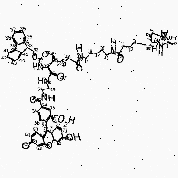 C=C1N[C@H]2[C@H](CS[C@H]2CCCCC(=O)NCCCCCNC(=O)CSC(=C)[C@H](NC(=O)OCC2c3ccccc3-c3ccccc32)C(=O)NCCNC(=O)c2ccc(-c3c4ccc(=O)cc-4oc4cc(O)ccc34)c(C(=O)O)c2)N1